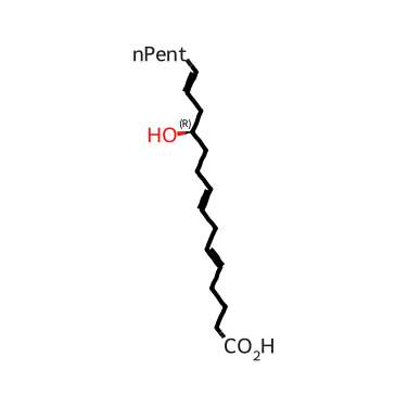 CCCCCC=CC[C@H](O)CCC=CCC=CCCCC(=O)O